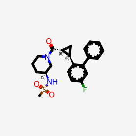 CS(=O)(=O)N[C@H]1CCCN(C(=O)[C@@H]2C[C@H]2c2ccc(F)cc2-c2ccccc2)C1